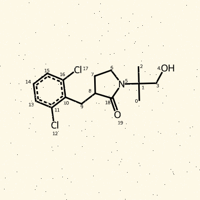 CC(C)(CO)N1CCC(Cc2c(Cl)cccc2Cl)C1=O